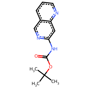 CC(C)(C)OC(=O)Nc1cc2ncccc2cn1